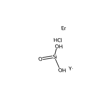 Cl.O=[Si](O)O.[Er].[Y]